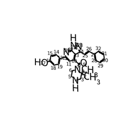 CC1(C)CNCCN1C(=O)c1cc(-c2ccc(O)cc2)nc2[nH]nc(C=Cc3ccccc3)c12